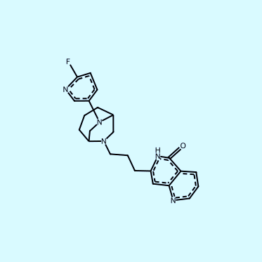 O=c1[nH]c(CCCN2CC3CCCC2CN3c2ccc(F)nc2)cc2ncccc12